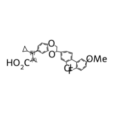 COc1ccc(F)c(-c2ccc(C3COc4ccc([C@H](C5CC5)[C@@H](C)C(=O)O)cc4O3)cc2Cl)c1